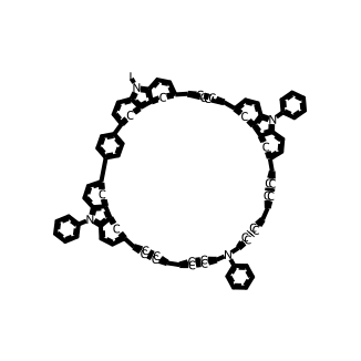 In1c2ccc3cc2c2cc(ccc21)-c1ccc(cc1)-c1ccc2c(c1)c1cc(ccc1n2-c1ccccc1)-c1ccc(cc1)-c1ccc(cc1)N(c1ccccc1)c1ccc(cc1)-c1ccc(cc1)-c1ccc2c(c1)c1cc(ccc1n2-c1ccccc1)-c1ccc-3cc1